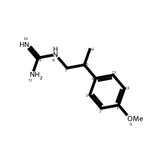 COc1ccc(C(C)CNC(=N)N)cc1